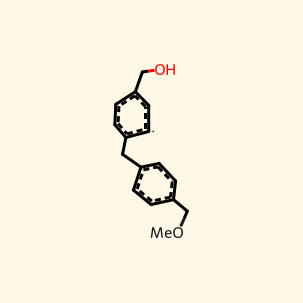 COCc1ccc(Cc2[c]cc(CO)cc2)cc1